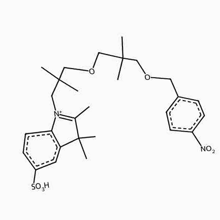 CC1=[N+](CC(C)(C)COCC(C)(C)COCc2ccc([N+](=O)[O-])cc2)c2ccc(S(=O)(=O)O)cc2C1(C)C